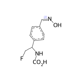 O=C(O)NC(CF)c1ccc(/C=N\O)cc1